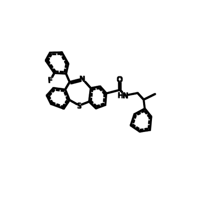 CC(CNC(=O)c1ccc2c(c1)N=C(c1ccccc1F)c1ccccc1S2)c1ccccc1